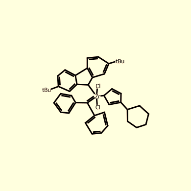 CC(C)(C)c1ccc2c(c1)[CH]([Zr]([Cl])([Cl])(=[C](c1ccccc1)c1ccccc1)[CH]1C=CC(C3CCCCC3)=C1)c1cc(C(C)(C)C)ccc1-2